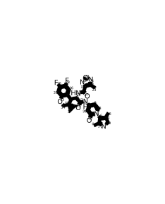 CC1=NCC(C)=C1n1ccc(NC(=O)[C@@H](NC(=O)c2nonc2C)C2c3cc(F)c(F)cc3OCC23CC3)cc1=O